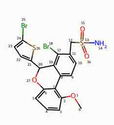 COc1cccc2c1-c1ccc(CS(N)(=O)=O)c(Br)c1C(c1ccc(Br)s1)O2